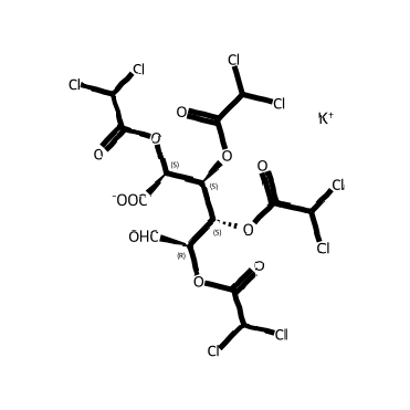 O=C[C@H](OC(=O)C(Cl)Cl)[C@@H](OC(=O)C(Cl)Cl)[C@H](OC(=O)C(Cl)Cl)[C@H](OC(=O)C(Cl)Cl)C(=O)[O-].[K+]